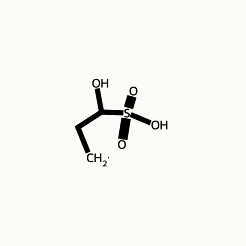 [CH2]CC(O)S(=O)(=O)O